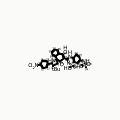 CC(C)(C)CCC1(NCc2ccc([N+](=O)[O-])cc2)C(=O)C(C2=NS(O)(O)c3cc(NS(C)(=O)=O)ccc3N2)=C(O)c2ccccc21